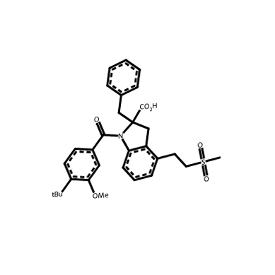 COc1cc(C(=O)N2c3cccc(CCS(C)(=O)=O)c3CC2(Cc2ccccc2)C(=O)O)ccc1C(C)(C)C